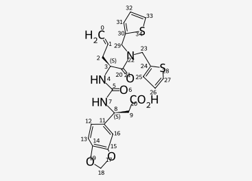 C=CC[C@H](NC(=O)N[C@@H](CC(=O)O)c1ccc2c(c1)OCO2)C(=O)N(Cc1cccs1)Cc1cccs1